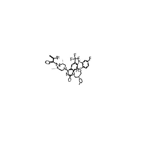 C=C(F)C(=O)N1[C@H](C)CN(c2nc(=O)n3c4c(cc(C(F)(F)F)cc24)[SH](c2ccc(F)cc2F)C[C@@H](OC)C3)C[C@@H]1C